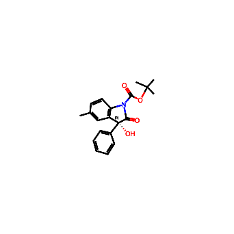 Cc1ccc2c(c1)[C@](O)(c1ccccc1)C(=O)N2C(=O)OC(C)(C)C